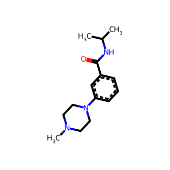 CC(C)NC(=O)c1cccc(N2CCN(C)CC2)c1